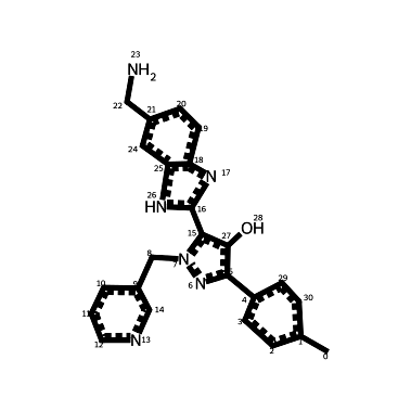 Cc1ccc(-c2nn(Cc3cccnc3)c(-c3nc4ccc(CN)cc4[nH]3)c2O)cc1